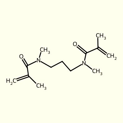 C=C(C)C(=O)N(C)CCCN(C)C(=O)C(=C)C